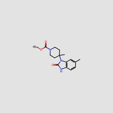 Cc1ccc2[nH]c(=O)n(C3(C)CCN(C(=O)OC(C)(C)C)CC3)c2c1